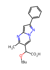 Cc1nc2cc(-c3ccccc3)nn2cc1C(OC(C)(C)C)C(=O)O